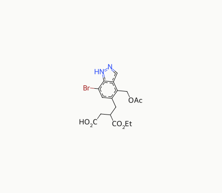 CCOC(=O)C(CC(=O)O)Cc1cc(Br)c2[nH]ncc2c1COC(C)=O